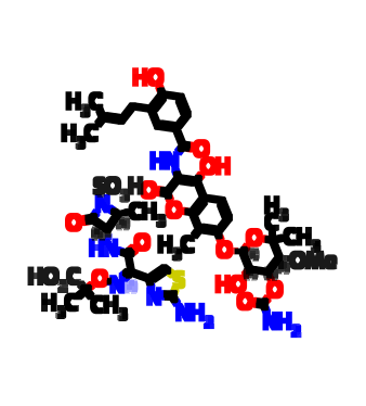 CO[C@@H]1[C@@H](OC(N)=O)[C@@H](O)[C@H](Oc2ccc3c(O)c(NC(=O)c4ccc(O)c(CC=C(C)C)c4)c(=O)oc3c2C)OC1(C)C.C[C@H]1[C@H](NC(=O)/C(=N\OC(C)(C)C(=O)O)c2csc(N)n2)C(=O)N1S(=O)(=O)O